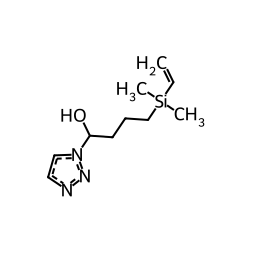 C=C[Si](C)(C)CCCC(O)n1ccnn1